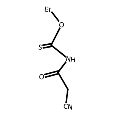 CCOC(=S)NC(=O)CC#N